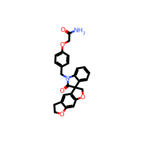 NC(=O)COc1ccc(CN2C(=O)C3(COc4cc5c(cc43)CCO5)c3ccccc32)cc1